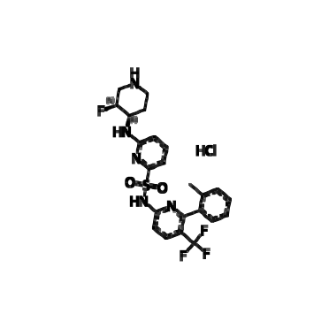 Cc1ccccc1-c1nc(NS(=O)(=O)c2cccc(N[C@@H]3CCNC[C@@H]3F)n2)ccc1C(F)(F)F.Cl